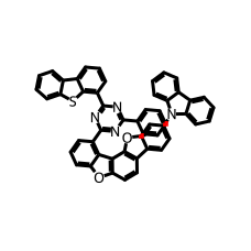 c1ccc(-c2nc(-c3cccc4c3sc3ccccc34)nc(-c3cccc4oc5ccc6c7ccc(-n8c9ccccc9c9ccccc98)cc7oc6c5c34)n2)cc1